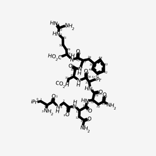 CC(C)CC(N)C(=O)NCC(=O)NC(CC(N)=O)C(=O)NC(CC(N)=O)C(=O)NC(C(=O)NC(CC(=O)O)C(=O)NC(Cc1ccccc1)C(=O)NC(CCCNC(=N)N)C(=O)O)C(C)C